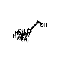 CC(CCn1ncc2cc(C#CC#C[C@@H]3C[C@H]3CO)ccc21)(C(=O)NO)S(C)(=O)=O